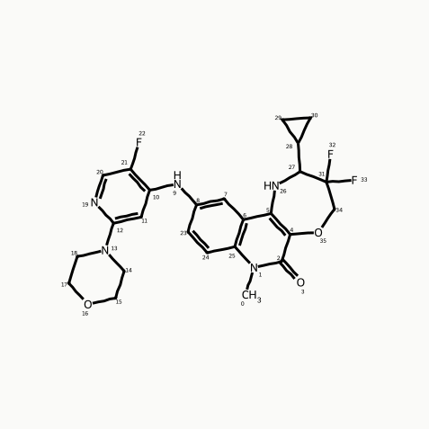 Cn1c(=O)c2c(c3cc(Nc4cc(N5CCOCC5)ncc4F)ccc31)NC(C1CC1)C(F)(F)CO2